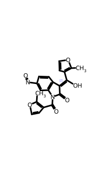 Cc1occc1C(=O)N1C(=O)/C(=C(\O)c2ccoc2C)c2ccc(N=O)cc21